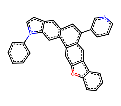 c1ccc(-n2ccc3cc4cc(-c5cccnc5)c5cc6c(cc5c4cc32)oc2ccccc26)cc1